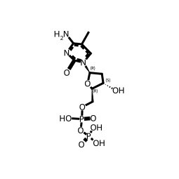 Cc1cn([C@H]2C[C@H](O)[C@@H](COP(=O)(O)OP(=O)(O)O)O2)c(=O)nc1N